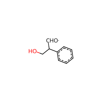 O=[C]C(CO)c1ccccc1